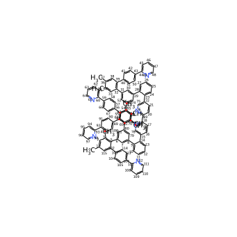 Cc1cc(C)c(-c2cc(-c3ccccc3-c3ccc(-c4ccc(-c5ccccc5-c5cc(-c6cc(C)c(C)cc6-c6ccc(-c7ccccn7)cc6)cc(-c6c(-c7ccc(-c8ccccn8)cc7)ccc(C)c6C)c5)cn4)nc3)cc(-c3c(C)cc(C)cc3-c3ccc(-c4ccccn4)cc3)c2)c(-c2ccc(-c3ccccn3)cc2)c1